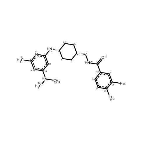 Cc1nc(N[C@H]2CC[C@@H](CNC(=O)c3ccc(C(F)(F)F)c(F)c3)CC2)cc(N(C)C)n1